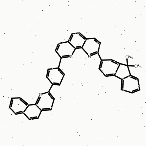 CC1(C)c2ccccc2-c2ccc(-c3ccc4ccc5ccc(-c6ccc(-c7ccc8ccc9ccccc9c8n7)cc6)nc5c4n3)cc21